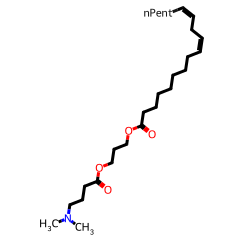 CCCCC/C=C\C/C=C\CCCCCCCC(=O)OCCCOC(=O)CCCN(C)C